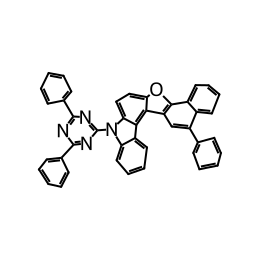 c1ccc(-c2nc(-c3ccccc3)nc(-n3c4ccccc4c4c5c(ccc43)oc3c4ccccc4c(-c4ccccc4)cc35)n2)cc1